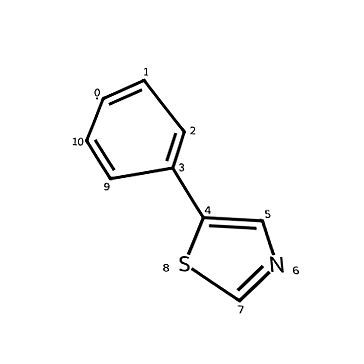 [c]1ccc(-c2cncs2)cc1